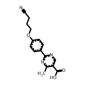 Cc1nc(-c2ccc(OCCCC#N)cc2)ncc1C(=O)O